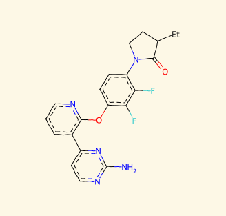 CCC1CCN(c2ccc(Oc3ncccc3-c3ccnc(N)n3)c(F)c2F)C1=O